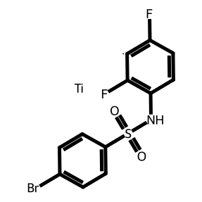 O=S(=O)(Nc1ccc(F)[c]c1F)c1ccc(Br)cc1.[Ti]